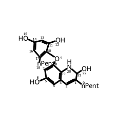 CCCCCC1=Cc2cc(O)cc(Oc3c(O)cc(O)cc3CCCCC)c2NC1O